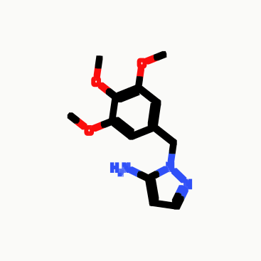 COc1cc(Cn2nccc2N)cc(OC)c1OC